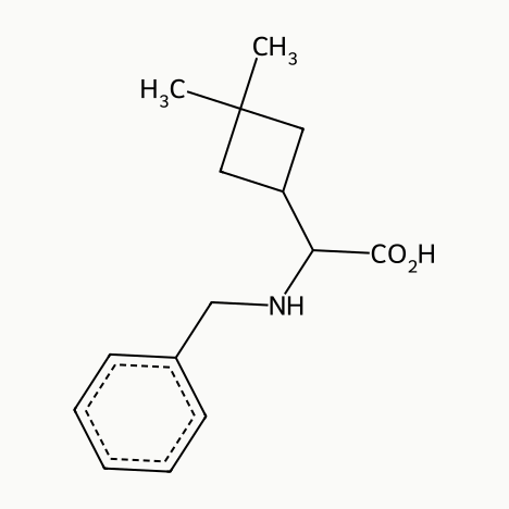 CC1(C)CC(C(NCc2ccccc2)C(=O)O)C1